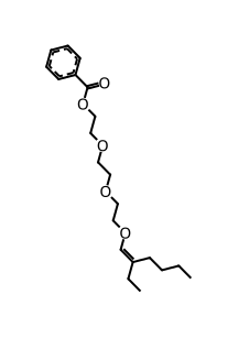 CCCC/C(=C\OCCOCCOCCOC(=O)c1ccccc1)CC